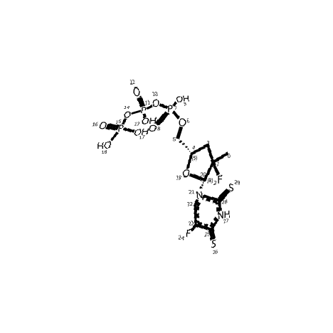 CC1(F)C[C@@H](COP(=O)(O)OP(=O)(O)OP(=O)(O)O)O[C@H]1n1cc(F)c(=S)[nH]c1=S